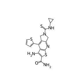 NC(=O)c1sc2nc3c(c(-c4cccs4)c2c1N)CN(C(=S)NC1CC1)C3